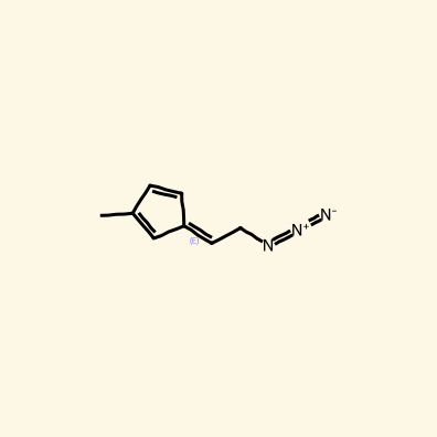 CC1=C/C(=C/CN=[N+]=[N-])C=C1